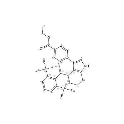 CCOC(=O)c1ccc(-c2n[nH]c3c2C(C(=O)c2c(C(F)(F)F)cccc2C(F)(F)F)CCC3)cc1